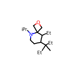 CCC1C(C(C)(CC)CC)CCN(C(C)C)C12COC2